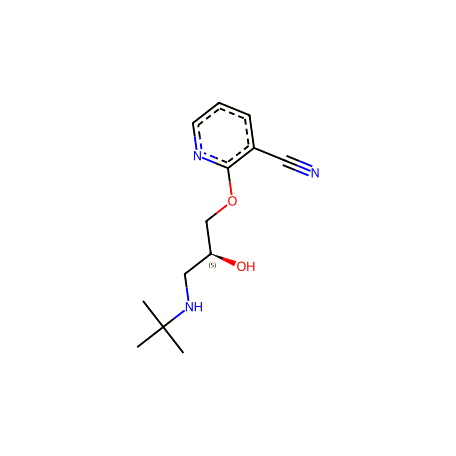 CC(C)(C)NC[C@H](O)COc1ncccc1C#N